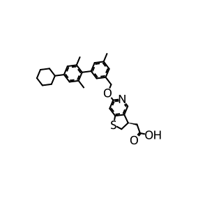 Cc1cc(COc2cc3c(cn2)[C@@H](CC(=O)O)CS3)cc(-c2c(C)cc(C3CCCCC3)cc2C)c1